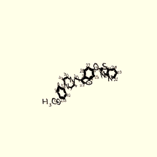 COc1ccc(N2CCN(Cc3coc4cc(Oc5nc6ncccc6s5)ccc34)CC2)cc1